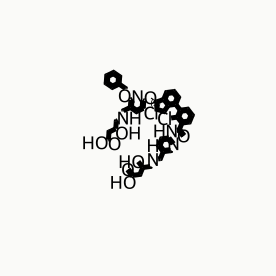 O=C(O)CC(O)CNCc1ccc(NC(=O)c2cccc(-c3cccc4c3CC[C@@H]4Oc3nc(OCc4ccccc4)c(CNCC(O)CC(=O)O)cc3Cl)c2Cl)nc1